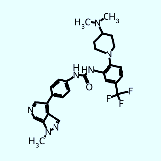 CN(C)C1CCN(c2ccc(C(F)(F)F)cc2NC(=O)Nc2ccc(-c3cncc4c3cnn4C)cc2)CC1